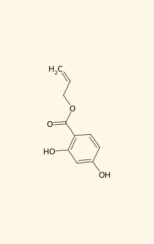 C=CCOC(=O)c1ccc(O)cc1O